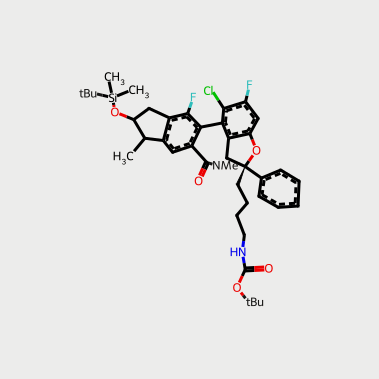 CNC(=O)c1cc2c(c(F)c1-c1c(Cl)c(F)cc3c1C[C@@](CCCCNC(=O)OC(C)(C)C)(c1ccccc1)O3)CC(O[Si](C)(C)C(C)(C)C)C2C